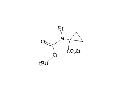 CCOC(=O)C1(N(CC)C(=O)OC(C)(C)C)CC1